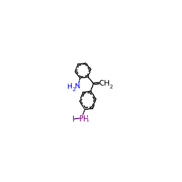 C=C(c1ccc(PI)cc1)c1ccccc1N